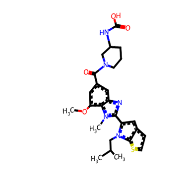 COc1cc(C(=O)N2CCCC(NC(=O)O)C2)cc2nc(-c3cc4ccsc4n3CC(C)C)n(C)c12